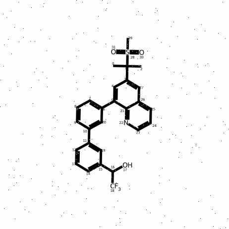 CC(C)(c1cc(-c2cccc(-c3cccc(C(O)C(F)(F)F)c3)c2)c2ncccc2c1)S(C)(=O)=O